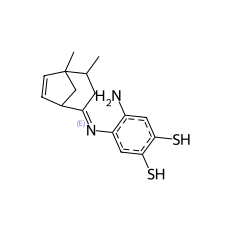 CC1C/C(=N\c2cc(S)c(S)cc2N)C2C=CC1(C)C2